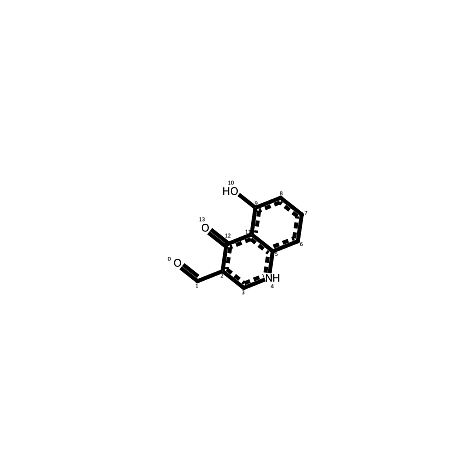 O=Cc1c[nH]c2cccc(O)c2c1=O